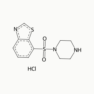 Cl.O=S(=O)(c1cccc2ncsc12)N1CCNCC1